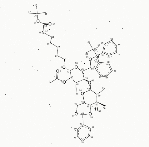 CC(=O)OC1[C@H](OCCCCCNC(=O)OC(C)(C)C)OC(CO[Si](c2ccccc2)(c2ccccc2)C(C)(C)C)[C@@H](O[C@@H]2OC3COC(c4ccccc4)O[C@@H]3[C@H](C)C2C)[C@@H]1C